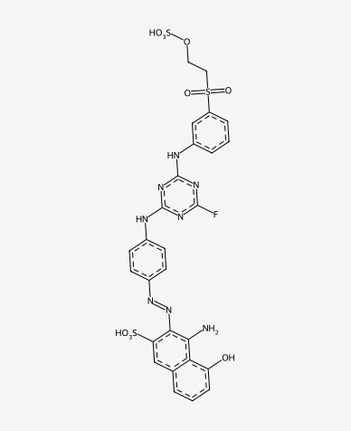 Nc1c(N=Nc2ccc(Nc3nc(F)nc(Nc4cccc(S(=O)(=O)CCOS(=O)(=O)O)c4)n3)cc2)c(S(=O)(=O)O)cc2cccc(O)c12